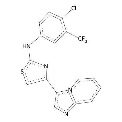 FC(F)(F)c1cc(Nc2nc(-c3cnc4ccccn34)cs2)ccc1Cl